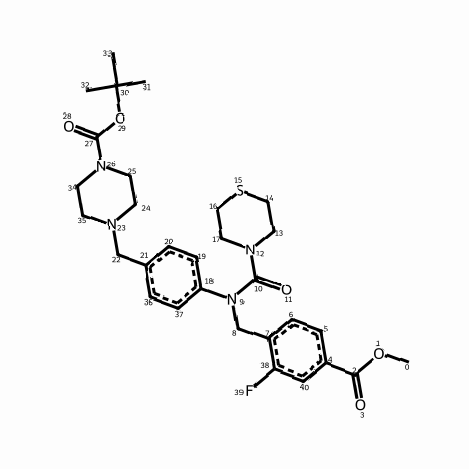 COC(=O)c1ccc(CN(C(=O)N2CCSCC2)c2ccc(CN3CCN(C(=O)OC(C)(C)C)CC3)cc2)c(F)c1